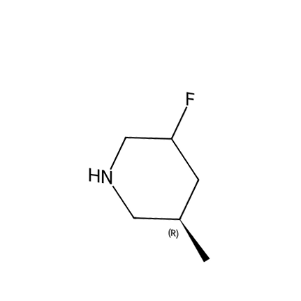 C[C@H]1CNCC(F)C1